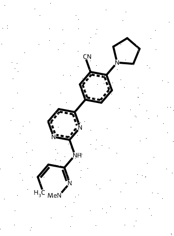 C/C=C\C(=N/NC)Nc1nccc(-c2ccc(N3CCCC3)c(C#N)c2)n1